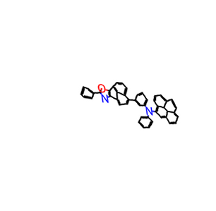 C1=CC2=CC(N(c3ccccc3)c3cccc(-c4ccc5c6c(cccc46)-c4oc(-c6ccccc6)nc4-5)c3)=C3C=CC=C4C=CC(=C1)C2C43